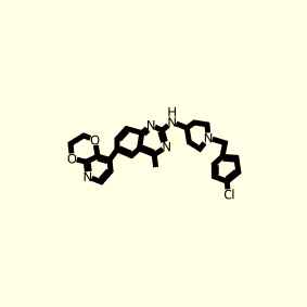 Cc1nc(NC2CCN(Cc3ccc(Cl)cc3)CC2)nc2ccc(-c3ccnc4c3OCCO4)cc12